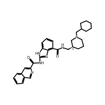 O=C(Nc1nc2c(C(=O)NC[C@@H]3CCCN(CC4CCCCC4)C3)cccc2[nH]1)c1cc2ccccc2cn1